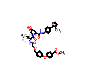 COC(=O)c1ccc(Oc2ccc(COCC(=O)N[C@H](C(=O)N3C[C@H](O)C[C@H]3C(=O)NCc3ccc(-c4sccc4C)cc3)C(C)(C)C)cc2)cc1